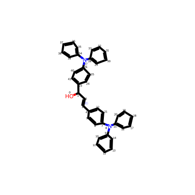 OC(/C=C/c1ccc(N(c2ccccc2)c2ccccc2)cc1)c1ccc(N(c2ccccc2)c2ccccc2)cc1